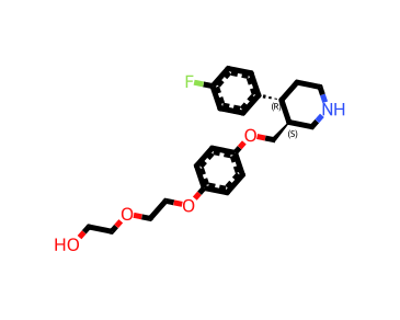 OCCOCCOc1ccc(OC[C@@H]2CNCC[C@H]2c2ccc(F)cc2)cc1